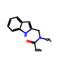 COC(=O)N(C)[CH]c1cc2ccccc2[nH]1